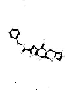 O=C(OCc1ccccc1)c1cc2c(=O)n(Cc3ncco3)c(=O)[nH]c2s1